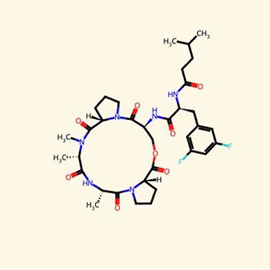 CC(C)CCC(=O)N[C@@H](Cc1cc(F)cc(F)c1)C(=O)N[C@H]1COC(=O)[C@@H]2CCCN2C(=O)[C@H](C)NC(=O)[C@H](C)N(C)C(=O)[C@@H]2CCCN2C1=O